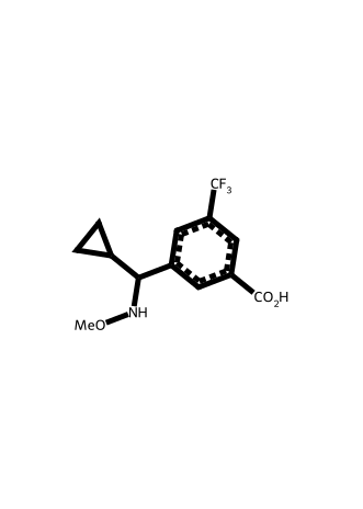 CONC(c1cc(C(=O)O)cc(C(F)(F)F)c1)C1CC1